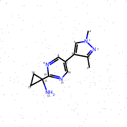 Cc1nn(C)cc1-c1cnc(C2(N)CC2)nc1